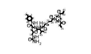 [CH2]c1ccc(NC(=O)[C@H](CCCNC(N)=O)NC(=O)[C@@H](NC(=O)CSCCC(=O)N2CN(C(=O)C=C)CN(C(=O)C=C)C2)C(C)C)cc1